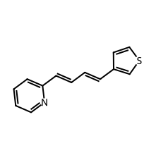 C(C=Cc1ccccn1)=Cc1ccsc1